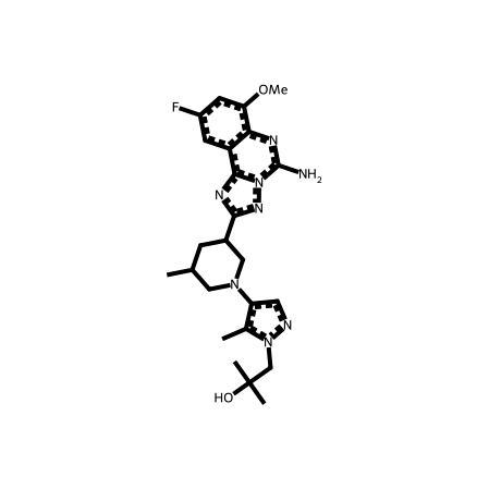 COc1cc(F)cc2c1nc(N)n1nc(C3CC(C)CN(c4cnn(CC(C)(C)O)c4C)C3)nc21